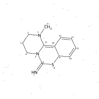 CN1CCCN2C(=N)SC3C=CC=CC3=C12